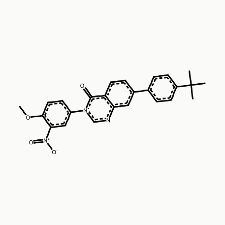 COc1ccc(-n2cnc3cc(-c4ccc(C(C)(C)C)cc4)ccc3c2=O)cc1[N+](=O)[O-]